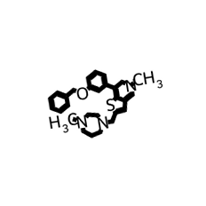 CN1C=c2cc(CN3CCCN(C)CC3)sc2=C(c2cccc(OCc3ccccc3)c2)C1